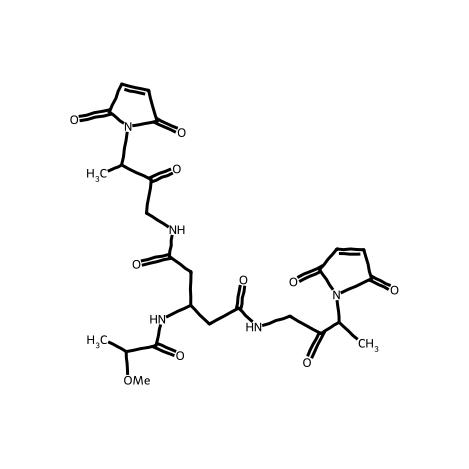 COC(C)C(=O)NC(CC(=O)NCC(=O)C(C)N1C(=O)C=CC1=O)CC(=O)NCC(=O)C(C)N1C(=O)C=CC1=O